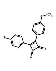 O=c1c(-c2ccc(F)cc2)c(-c2ccc(OC(F)(F)F)cc2)c1=O